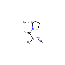 CN[C@@H](C)C(=O)N1CCC[C@H]1C